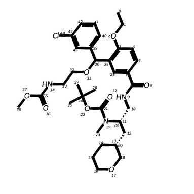 CCOc1ccc(C(=O)NC[C@H](C[C@H]2CCCOC2)N(C)C(=O)OC(C)(C)C)cc1C(OCCNC(=O)OC)c1cccc(Cl)c1